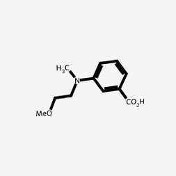 COCCN(C)c1cccc(C(=O)O)c1